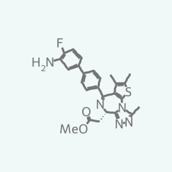 COC(=O)C[C@@H]1N=C(c2ccc(-c3ccc(F)c(N)c3)cc2)c2c(sc(C)c2C)-n2c(C)nnc21